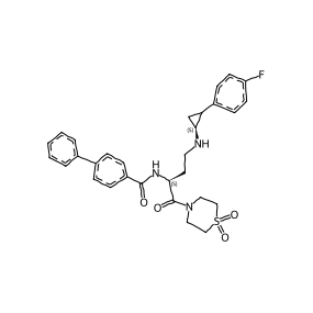 O=C(N[C@@H](CCN[C@H]1CC1c1ccc(F)cc1)C(=O)N1CCS(=O)(=O)CC1)c1ccc(-c2ccccc2)cc1